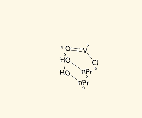 CCCO.CCCO.[O]=[V][Cl]